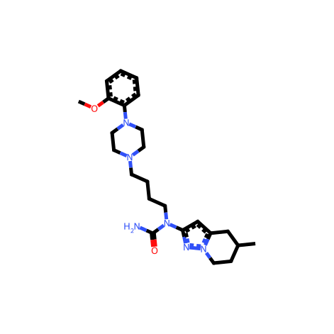 COc1ccccc1N1CCN(CCCCN(C(N)=O)c2cc3n(n2)CCC(C)C3)CC1